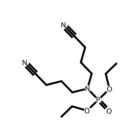 CCOP(=O)(OCC)N(CCCC#N)CCCC#N